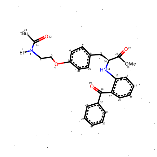 CCN(CCOc1ccc(C[C@H](Nc2ccccc2C(=O)c2ccccc2)C(=O)OC)cc1)C(=O)C(C)(C)C